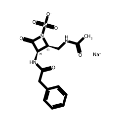 CC(=O)NC[C@H]1[C@@H](NC(=O)Cc2ccccc2)C(=O)N1S(=O)(=O)[O-].[Na+]